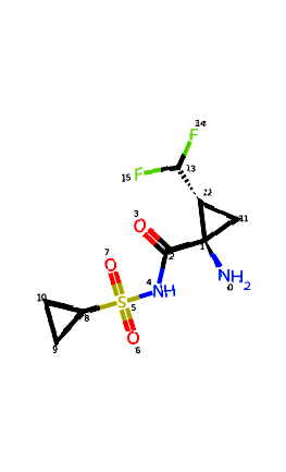 N[C@]1(C(=O)NS(=O)(=O)C2CC2)C[C@H]1C(F)F